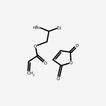 C=CC(=O)OCC(CC)CCCC.O=C1C=CC(=O)O1